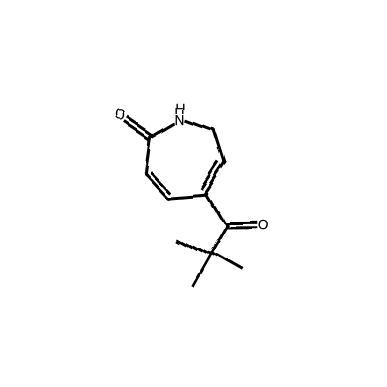 CC(C)(C)C(=O)C1=CCNC(=O)C=C1